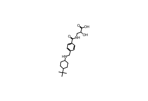 CC(C)(C)C1CCC(NCc2ccc(C(=O)NCC(O)C(=O)O)cc2)CC1